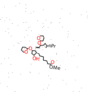 CCC[C@H]1C[C@H]([C@@H](C=C[C@@H]2[C@@H](CCCCCCC(=O)OC)[C@@H](O)C[C@H]2OC2CCCCO2)OC2CCCCO2)C1